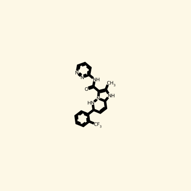 CC1=C(C(=O)Nc2cccnn2)N2NC(c3ccccc3C(F)(F)F)C=CC2N1